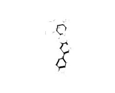 Cc1ccc(-c2cncc(O[C@@H]3SC[C@@H](O)[C@H](O)[C@H]3O)c2)cc1